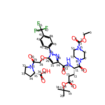 CCOC(=O)N1CCN(C(=O)[C@H](CCC(=O)OC(C)(C)C)NC(=O)c2cc(OCC(=O)N3CCC[C@H]3C(=O)O)n(-c3ccc(C(F)(F)F)cc3)n2)CC1